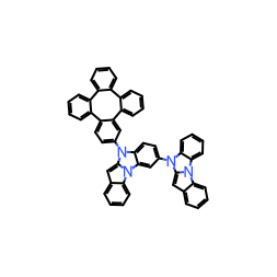 c1ccc2c(c1)-c1ccccc1-c1ccc(-n3c4ccc(-n5c6ccccc6n6c7ccccc7cc56)cc4n4c5ccccc5cc34)cc1-c1ccccc1-2